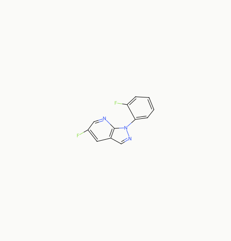 Fc1cnc2c(cnn2-c2ccccc2F)c1